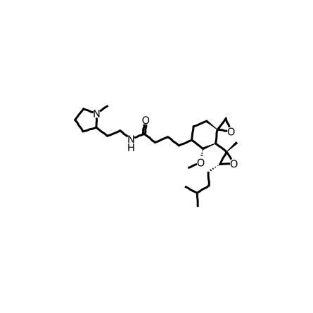 CO[C@@H]1C(CCCC(=O)NCCC2CCCN2C)CC[C@]2(CO2)[C@H]1[C@]1(C)O[C@@H]1CCC(C)C